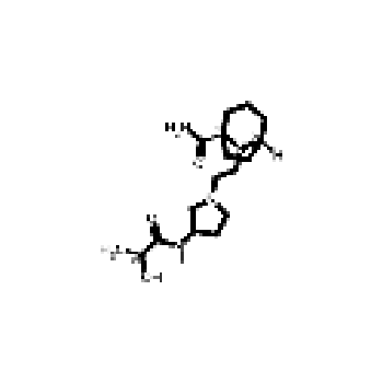 C[C@H](O)C(=O)NC1CCN(CCN2[C@@H]3C[CH]C[C@@]2(C(N)=O)CC3)C1